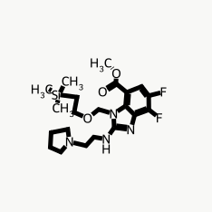 COC(=O)c1cc(F)c(F)c2nc(NCCN3CCCC3)n(COCC[Si](C)(C)C)c12